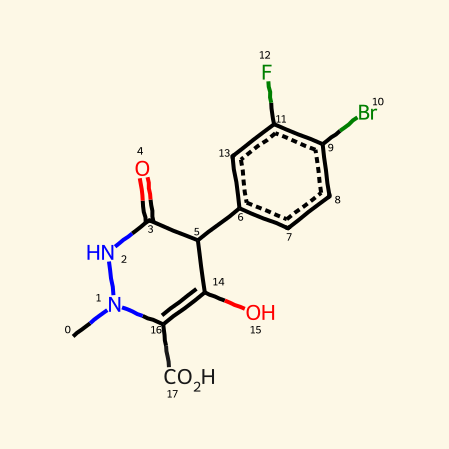 CN1NC(=O)C(c2ccc(Br)c(F)c2)C(O)=C1C(=O)O